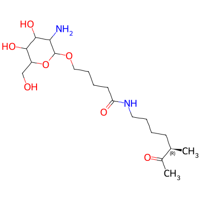 CC(=O)[C@H](C)CCCCNC(=O)CCCCOC1OC(CO)C(O)C(O)C1N